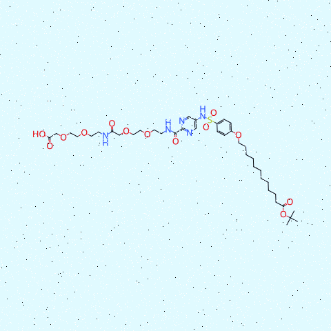 CC(C)(C)OC(=O)CCCCCCCCCCCOc1ccc(S(=O)(=O)Nc2cnc(C(=O)NCCOCCOCC(=O)NCCOCCOCC(=O)O)nc2)cc1